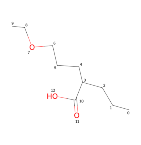 CCCC(CCCOCC)C(=O)O